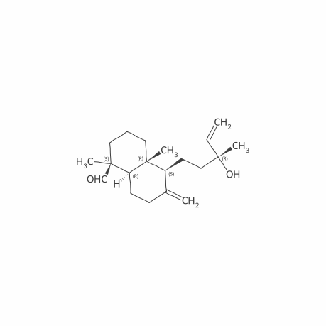 C=C[C@](C)(O)CC[C@H]1C(=C)CC[C@@H]2[C@]1(C)CCC[C@]2(C)C=O